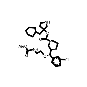 COC(=O)NCCO[C@@H](c1cccc(Cl)c1)[C@@H]1CCCN(C(=O)OC2(CC3CCCCC3)CCNC2)C1